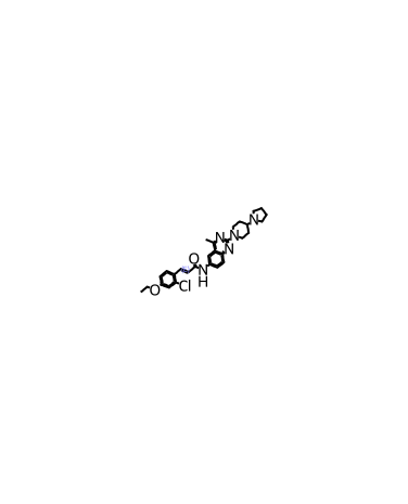 CCOc1ccc(/C=C/C(=O)Nc2ccc3nc(N4CCC(N5CCCC5)CC4)nc(C)c3c2)c(Cl)c1